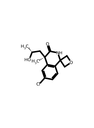 C[C@@H](O)C[C@@]1(C)C(=O)NC2(COC2)c2ccc(Cl)cc21